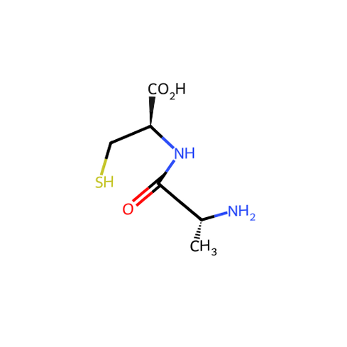 C[C@@H](N)C(=O)N[C@@H](CS)C(=O)O